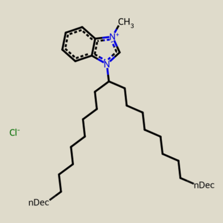 CCCCCCCCCCCCCCCCCCC(CCCCCCCCCCCCCCCCCC)n1c[n+](C)c2ccccc21.[Cl-]